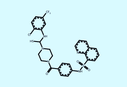 O=C(c1ccc(NS(=O)(=O)c2cccc3cccnc23)cc1)N1CCN(C(S)Nc2cc(C(F)(F)F)ccc2Cl)CC1